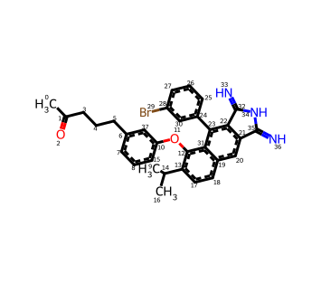 CC(=O)CCCc1cccc(Oc2c(C(C)C)ccc3cc4c(c(-c5cccc(Br)c5)c23)C(=N)NC4=N)c1